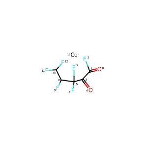 O=C(F)C(=O)C(F)(F)C(F)C(F)F.[Cu]